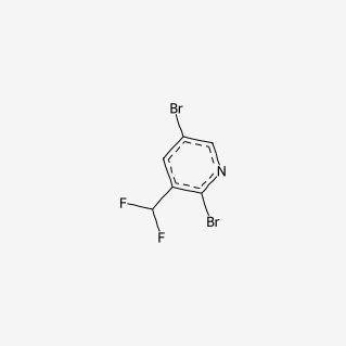 FC(F)c1cc(Br)cnc1Br